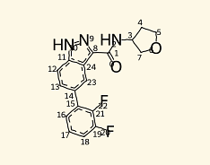 O=C(NC1CCOC1)c1n[nH]c2ccc(-c3cccc(F)c3F)cc12